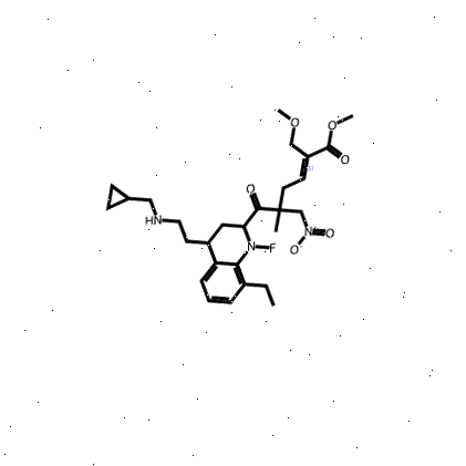 CCc1cccc2c1N(F)C(C(=O)C(C)(C/C=C(\COC)C(=O)OC)C[N+](=O)[O-])CC2CCNCC1CC1